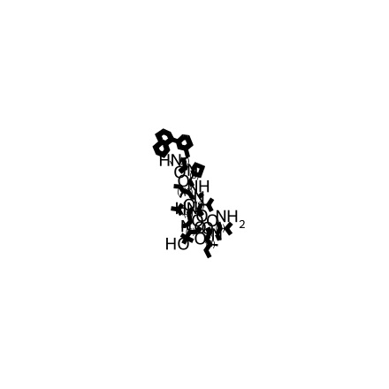 CC[C@H](C)[C@H](NC(=O)[C@@H]1CCCN1C(=O)[C@H](Cc1cccc(-c2cccc3ccccc23)c1)NC)C(=O)N(C)[C@H](C(=O)N[C@@H](CC(C)C)C(=O)N(C)[C@H](C(=O)O[C@@H](C(=O)N(C)[C@H](C(N)=O)C(C)C)[C@@H](C)CC)C(C)(C)O)C(C)C